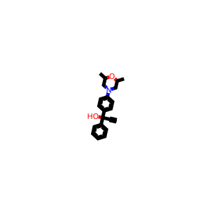 C#CC(O)(c1ccccc1)c1ccc(N2CC(C)OC(C)C2)cc1